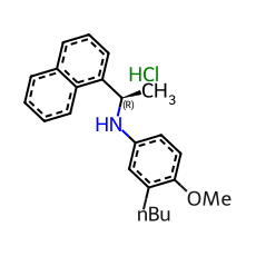 CCCCc1cc(N[C@H](C)c2cccc3ccccc23)ccc1OC.Cl